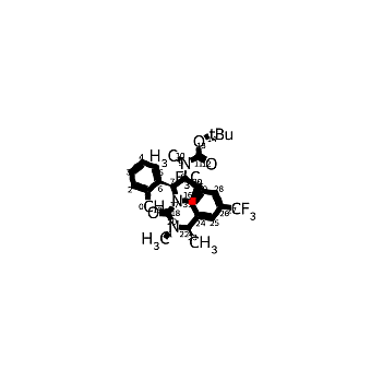 Cc1ccccc1[C@H]1[C@H](N(C)C(=O)OC(C)(C)C)CCN1C(=O)N(C)[C@H](C)c1cc(C(F)(F)F)cc(C(F)(F)F)c1